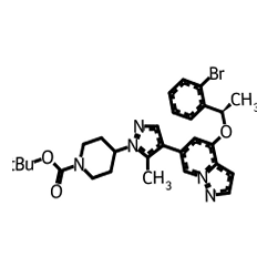 Cc1c(-c2cc(O[C@H](C)c3ccccc3Br)c3ccnn3c2)cnn1C1CCN(C(=O)OC(C)(C)C)CC1